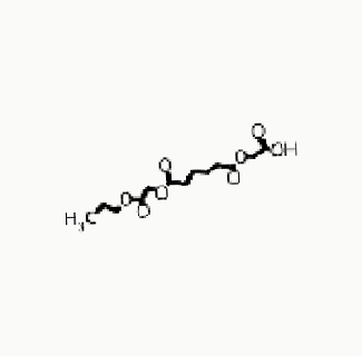 CCCOC(=O)COC(=O)CCCCC(=O)OCC(=O)O